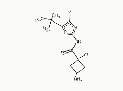 CC(C)(C)c1sc(NC(=O)C2(Cl)CC(N)C2)nc1Cl